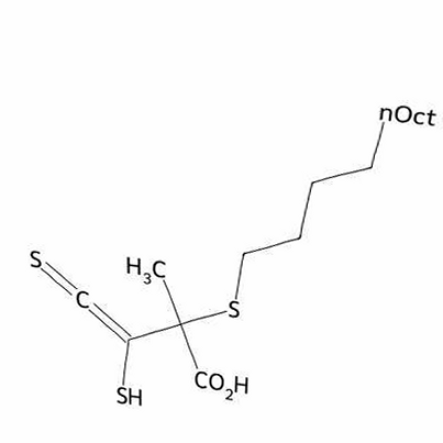 CCCCCCCCCCCCSC(C)(C(=O)O)C(S)=C=S